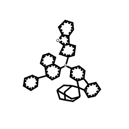 c1ccc(-c2ccc(N(c3ccc4c(c3)C3(c5ccccc5-4)C4CC5CC(C4)CC3C5)c3ccc4c(c3)oc3ccccc34)c3ccccc23)cc1